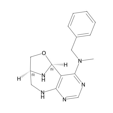 CN(Cc1ccccc1)c1ncnc2c1[C@H]1N[C@@H](CN2)CO1